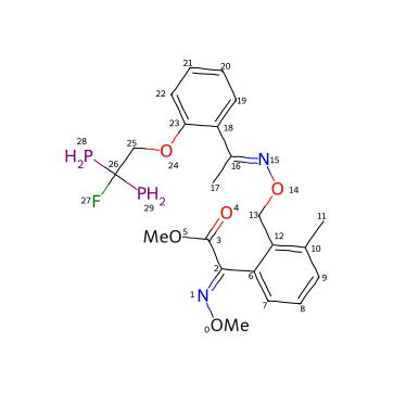 CO/N=C(/C(=O)OC)c1cccc(C)c1CO/N=C(\C)c1ccccc1OCC(F)(P)P